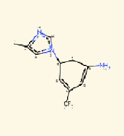 Cc1cn(C2C=C(C(F)(F)F)C=C(N)C2)cn1